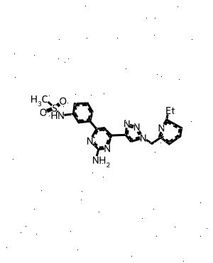 CCc1cccc(Cn2cc(-c3cc(-c4cccc(NS(C)(=O)=O)c4)nc(N)n3)nn2)n1